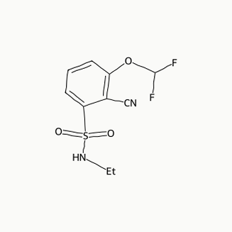 CCNS(=O)(=O)c1cccc(OC(F)F)c1C#N